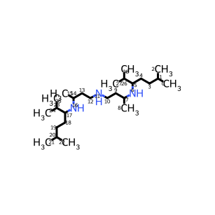 CC(C)CCC(NC(C)CCNCCC(C)NC(CCC(C)C)C(C)C)C(C)C